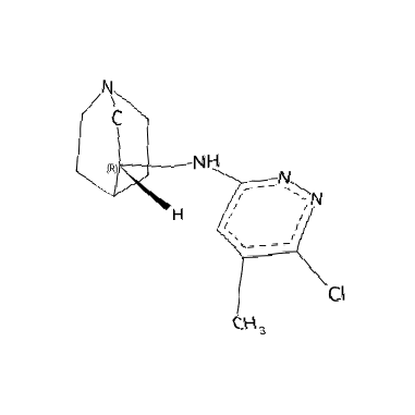 Cc1cc(N[C@H]2CN3CCC2CC3)nnc1Cl